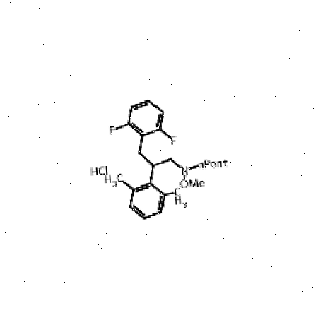 CCCCCN(CC(Cc1c(F)cccc1F)c1c(C)cccc1C)OC.Cl